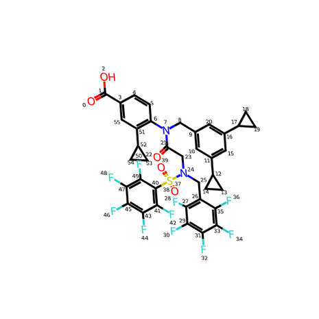 O=C(O)c1ccc(N(Cc2cc(C3CC3)cc(C3CC3)c2)C(=O)CN(Cc2c(F)c(F)c(F)c(F)c2F)S(=O)(=O)c2c(F)c(F)c(F)c(F)c2F)c(C2CC2)c1